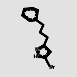 CC(C)c1cc(CCCc2ccccc2)n[nH]1